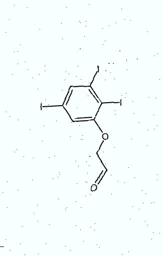 O=CCOc1cc(I)cc(I)c1I